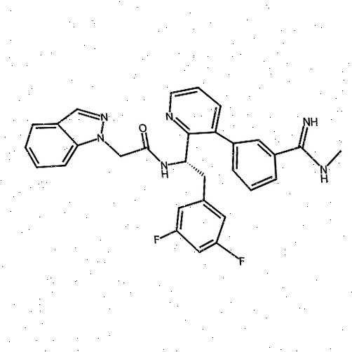 CNC(=N)c1cccc(-c2cccnc2[C@H](Cc2cc(F)cc(F)c2)NC(=O)Cn2ncc3ccccc32)c1